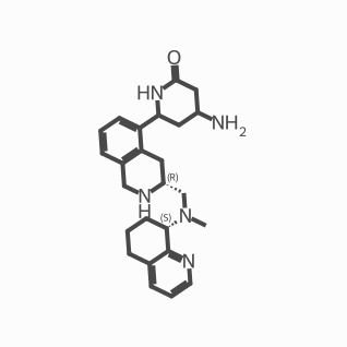 CN(C[C@H]1Cc2c(cccc2C2CC(N)CC(=O)N2)CN1)[C@H]1CCCc2cccnc21